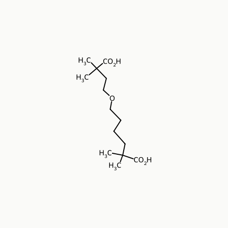 CC(C)(CCCCOCCC(C)(C)C(=O)O)C(=O)O